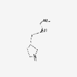 CCCCCNCC1CCNC1